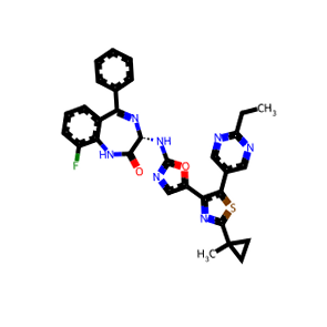 CCc1ncc(-c2sc(C3(C)CC3)nc2-c2cnc(N[C@H]3N=C(c4ccccc4)c4cccc(F)c4NC3=O)o2)cn1